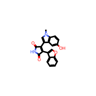 Cn1cc(C2=C(c3coc4ccccc34)C(=O)NC2=O)c2cc(O)ccc21